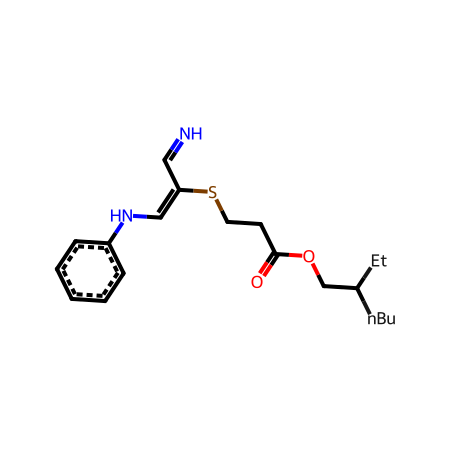 CCCCC(CC)COC(=O)CCS/C(C=N)=C/Nc1ccccc1